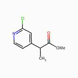 COC(=O)C(C)c1ccnc(Cl)c1